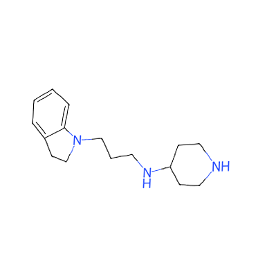 c1ccc2c(c1)CCN2CCCNC1CCNCC1